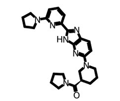 O=C([C@@H]1CCCN(c2ccc3nc(-c4cccc(N5CCCC5)n4)[nH]c3n2)C1)N1CCCC1